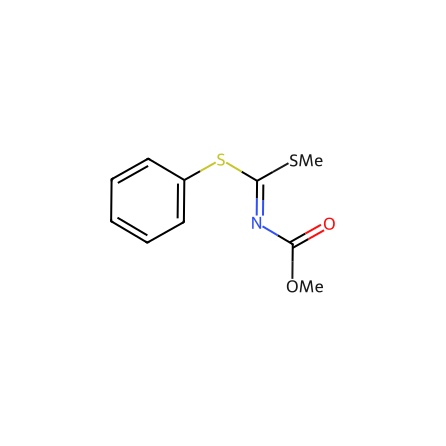 COC(=O)N=C(SC)Sc1ccccc1